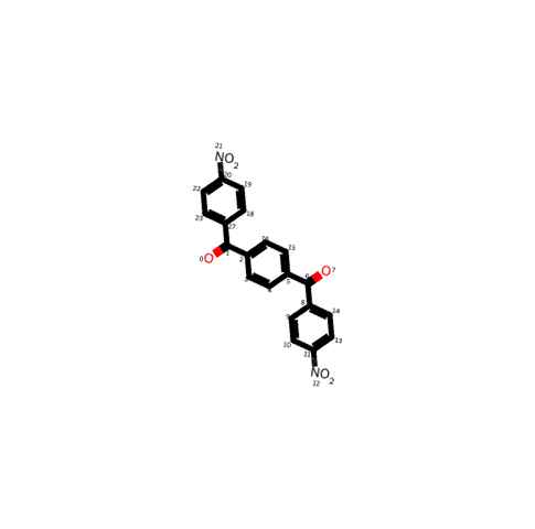 O=C(c1ccc(C(=O)c2ccc([N+](=O)[O-])cc2)cc1)c1ccc([N+](=O)[O-])cc1